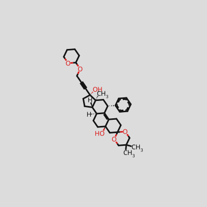 CC1(C)COC2(CCC3=C4[C@@H](CC[C@@]3(O)C2)[C@@H]2CC[C@@](O)(C#CCOC3CCCCO3)[C@@]2(C)C[C@@H]4c2ccccc2)OC1